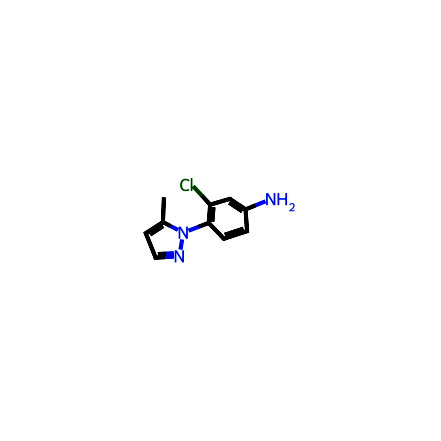 Cc1ccnn1-c1ccc(N)cc1Cl